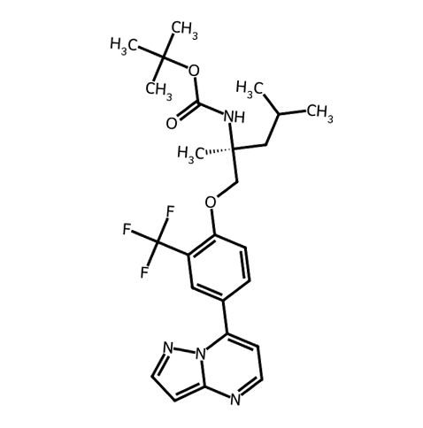 CC(C)C[C@@](C)(COc1ccc(-c2ccnc3ccnn23)cc1C(F)(F)F)NC(=O)OC(C)(C)C